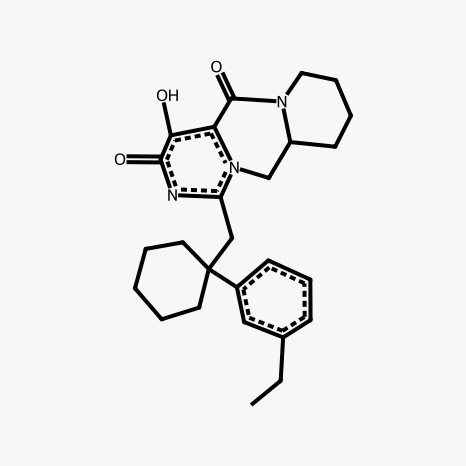 CCc1cccc(C2(Cc3nc(=O)c(O)c4n3CC3CCCCN3C4=O)CCCCC2)c1